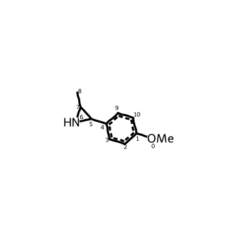 COc1ccc(C2NC2C)cc1